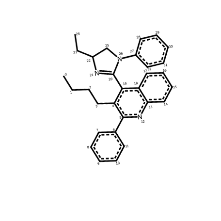 CCCCc1c(-c2ccccc2)nc2ccccc2c1C1=NC(CC)CN1c1ccccc1